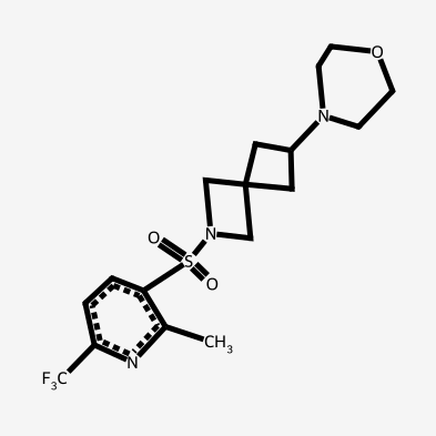 Cc1nc(C(F)(F)F)ccc1S(=O)(=O)N1CC2(CC(N3CCOCC3)C2)C1